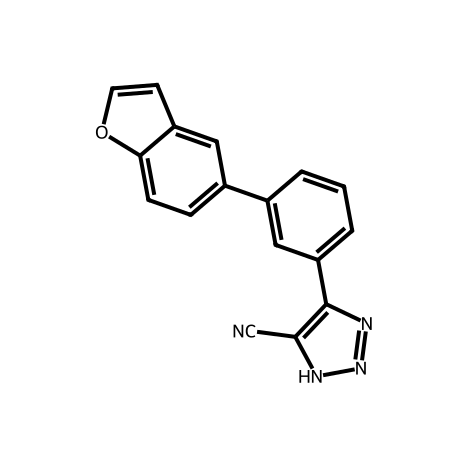 N#Cc1[nH]nnc1-c1cccc(-c2ccc3occc3c2)c1